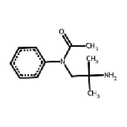 CC(=O)N(CC(C)(C)N)c1ccccc1